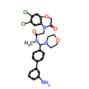 CN(C(=O)CN1C(=O)COc2cc(Cl)c(Cl)cc21)C(c1ccc(-c2cccc(N)c2)cc1)N1CCOCC1